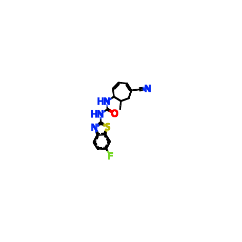 CC1CC(C#N)=CC=CC1NC(=O)Nc1nc2ccc(F)cc2s1